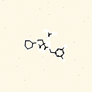 O=C(NCc1cc(F)cc(Cl)c1)C1(O)CCN(C2CCCCC2)C1=O.O=C(O)O